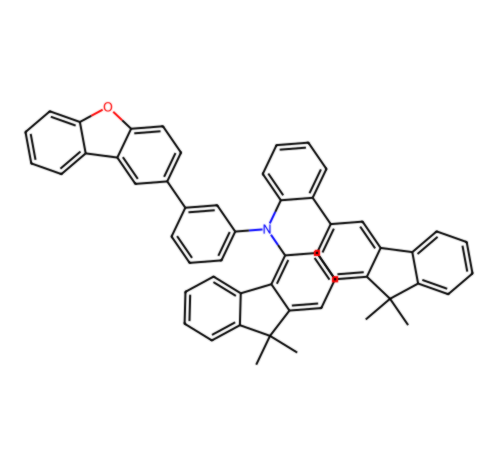 CC1(C)c2ccccc2-c2cc(-c3ccccc3N(c3cccc(-c4ccc5oc6ccccc6c5c4)c3)c3cccc4c3-c3ccccc3C4(C)C)ccc21